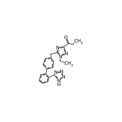 CCC(=O)c1nc(Cc2ccc(-c3ccccc3-c3nnn[nH]3)cc2)n(CC)n1